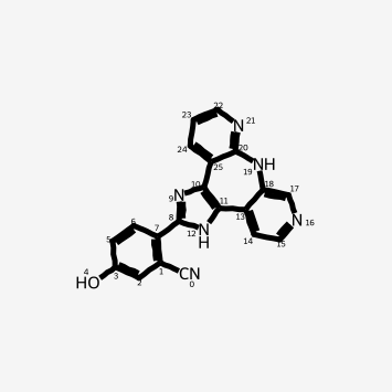 N#Cc1cc(O)ccc1-c1nc2c([nH]1)-c1ccncc1Nc1ncccc1-2